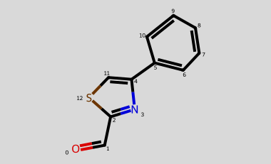 O=Cc1nc(-c2ccccc2)cs1